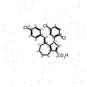 O=C(O)c1nn(-c2cc(Cl)ccc2Cl)c2c1CCCCC2=Cc1ccc(Cl)cc1